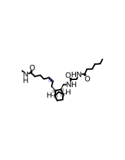 CCCCCC(=O)NCC(=O)NC[C@H]1[C@H]2CC[C@H](C2)[C@H]1C/C=C\CCCC(=O)NC